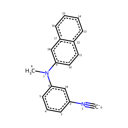 [C-]#[N+]c1cccc(N(C)c2ccc3ccccc3c2)c1